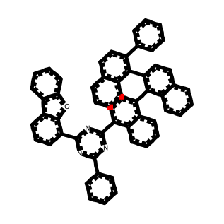 c1ccc(-c2nc(-c3ccc(-c4c(-c5c(-c6ccccc6)ccc6ccccc56)ccc5ccccc45)c4ccccc34)nc(-c3cccc4c3oc3ccccc34)n2)cc1